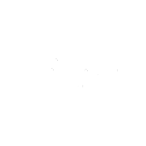 CC(C)C(=O)NC(C)c1cnn(-c2ccccc2F)c1